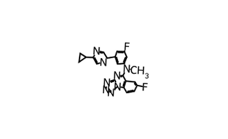 CN(c1cc(F)cc(-c2cnc(C3CC3)cn2)c1)c1nc2nnnn2c2ccc(F)cc12